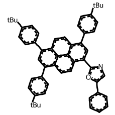 CC(C)(C)c1ccc(-c2cc(-c3ccc(C(C)(C)C)cc3)c3ccc4c(-c5ncc(-c6ccccc6)o5)cc(-c5ccc(C(C)(C)C)cc5)c5ccc2c3c54)cc1